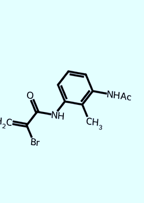 C=C(Br)C(=O)Nc1cccc(NC(C)=O)c1C